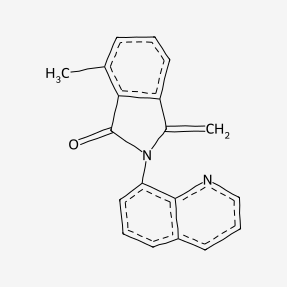 C=C1c2cccc(C)c2C(=O)N1c1cccc2cccnc12